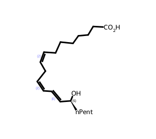 CCCCC[C@H](O)/C=C/C=C\C/C=C\CCCCCCC(=O)O